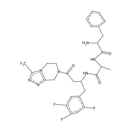 CC(NC(=O)C(N)Cc1ccccc1)C(=O)NC(CC(=O)N1CCn2c(nnc2C(F)(F)F)C1)Cc1cc(F)c(F)cc1F